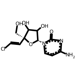 Nc1ccn([C@@H]2O[C@](C=CCl)(CO)C(O)C2O)c(=O)n1